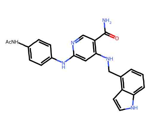 CC(=O)Nc1ccc(Nc2cc(NCc3cccc4[nH]ccc34)c(C(N)=O)cn2)cc1